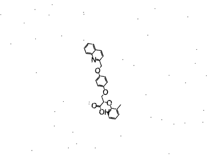 Cc1ccccc1OC(COc1ccc(OCc2ccc3ccccc3n2)cc1)C(=O)O